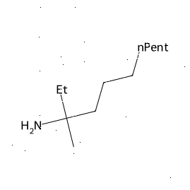 CCCCCCCCC(C)(N)CC